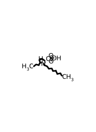 CCCCCCCCCCN1CCCC1CCCC.CS(=O)(=O)O